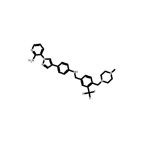 CN1CCN(Cc2ccc(CNc3ccc(-c4cnn(-c5cccnc5N)c4)cc3)cc2C(F)(F)F)CC1